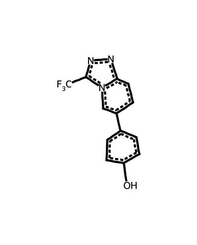 Oc1ccc(-c2ccc3nnc(C(F)(F)F)n3c2)cc1